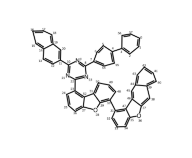 c1ccc(-c2ccc(-c3nc(-c4ccc5ccccc5c4)nc(-c4cccc5oc6c(-c7cccc8oc9cc%10ccccc%10cc9c78)cccc6c45)n3)cc2)cc1